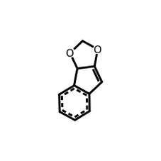 C1=C2OCOC2c2ccccc21